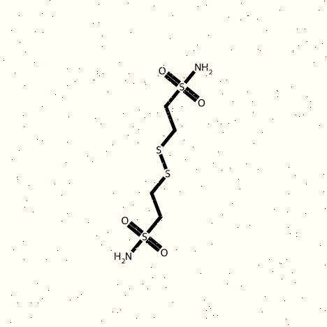 NS(=O)(=O)CCSSCCS(N)(=O)=O